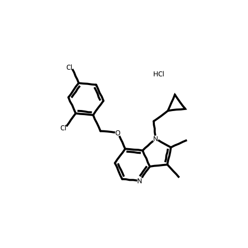 Cc1c(C)n(CC2CC2)c2c(OCc3ccc(Cl)cc3Cl)ccnc12.Cl